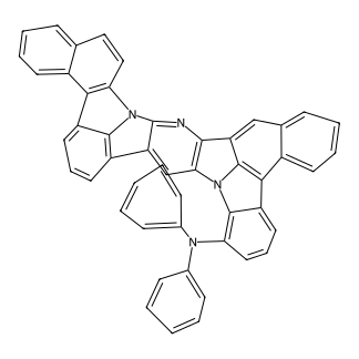 c1ccc(N(c2ccccc2)c2cccc3c4c5ccccc5cc5c6nc7c(cc6n(c23)c54)c2cccc3c4c5ccccc5ccc4n7c23)cc1